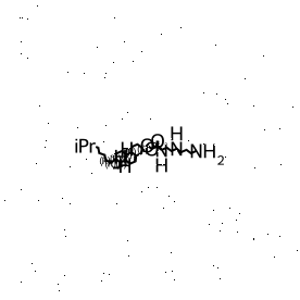 CC(C)CCC[C@@H](C)[C@H]1CC[C@H]2[C@@H]3CC=C4C[C@@H](OOC(=O)NCCNCCCN)CC[C@]4(C)[C@H]3CC[C@]12C